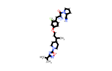 CC(C)c1noc(N2CCC(C(C)CCOc3ccc(CC(N)C(=O)N4CCCC4C#N)c(F)c3)CC2)n1